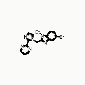 CCn1c(Cn2ccnc2-c2ncccn2)nc2cc(Br)ccc21